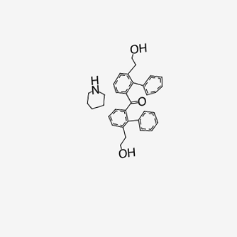 C1CCNCC1.O=C(c1cccc(CCO)c1-c1ccccc1)c1cccc(CCO)c1-c1ccccc1